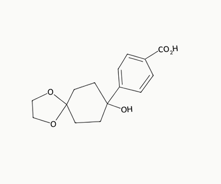 O=C(O)c1ccc(C2(O)CCC3(CC2)OCCO3)cc1